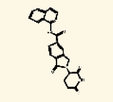 O=C1CCC(N2Cc3cc(C(=O)Nc4nccc5ccccc45)ccc3C2=O)C(=O)N1